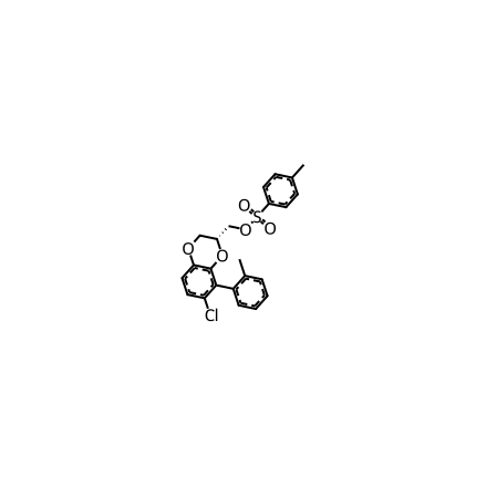 Cc1ccc(S(=O)(=O)OC[C@H]2COc3ccc(Cl)c(-c4ccccc4C)c3O2)cc1